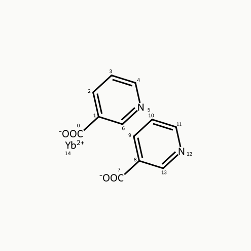 O=C([O-])c1cccnc1.O=C([O-])c1cccnc1.[Yb+2]